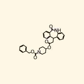 O=C(CC1c2ccccc2NC(=O)c2ccccc21)OC1CCN(C(=O)OCc2ccccc2)CC1